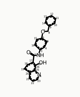 O=C(Nc1ccc(OCc2ccccc2)cc1)c1ccc2cccnc2c1O